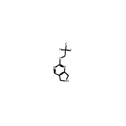 FC(F)(F)COc1ncc2c(n1)CNC2